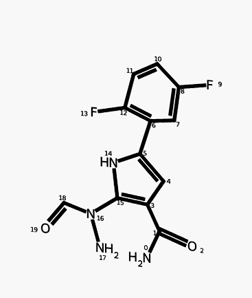 NC(=O)c1cc(-c2cc(F)ccc2F)[nH]c1N(N)C=O